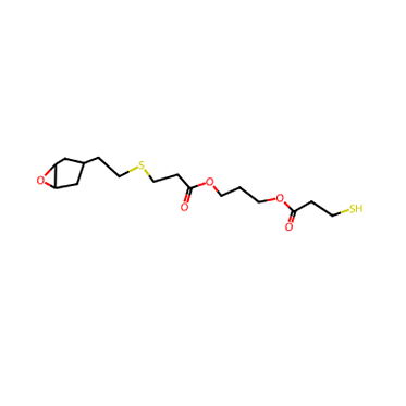 O=C(CCS)OCCCOC(=O)CCSCCC1CC2OC2C1